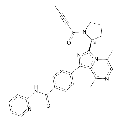 CC#CC(=O)N1CCC[C@H]1c1nc(-c2ccc(C(=O)Nc3ccccn3)cc2)c2c(C)ncc(C)n12